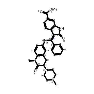 COC(=O)c1ccc2c(c1)NC(=O)/C2=C(/Nc1ccc2c(c1)CC(N1CCN(C)CC1)C(=O)N2C)c1ccccc1